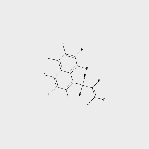 FC(F)=C(F)C(F)(F)c1c(F)c(F)c(F)c2c(F)c(F)c(F)c(F)c12